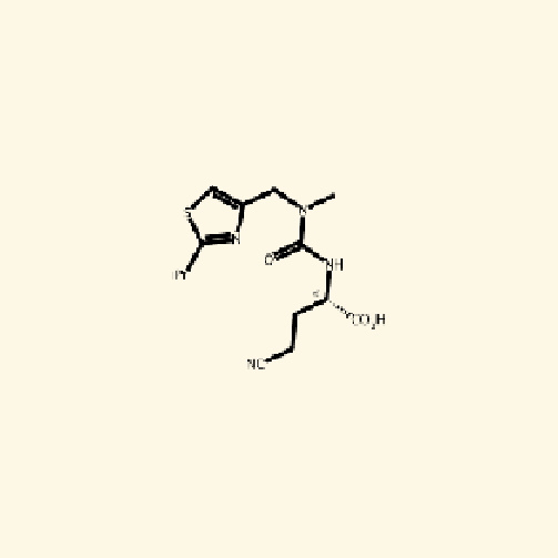 CC(C)c1nc(CN(C)C(=O)N[C@@H](CCC#N)C(=O)O)cs1